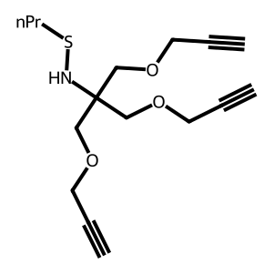 C#CCOCC(COCC#C)(COCC#C)NSCCC